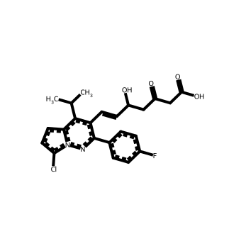 CC(C)c1c(C=CC(O)CC(=O)CC(=O)O)c(-c2ccc(F)cc2)nn2c(Cl)ccc12